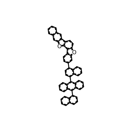 c1ccc2cc3c(cc2c1)oc1c3ccc2oc3cc(-c4ccc(-c5c6ccccc6c(-c6cccc7ccccc67)c6ccccc56)c5ccccc45)ccc3c21